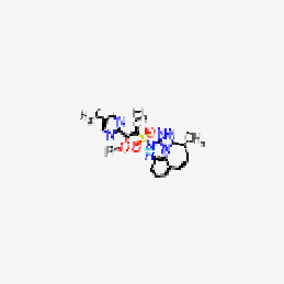 Cc1cnc(C(OC(C)C)C(C)S(=O)(=O)Nc2nnc3n2-c2c(F)cccc2C=CC[C@H]3C)nc1